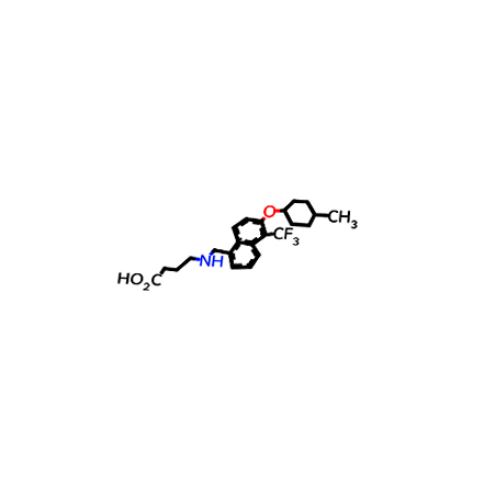 CC1CCC(Oc2ccc3c(CNCCCC(=O)O)cccc3c2C(F)(F)F)CC1